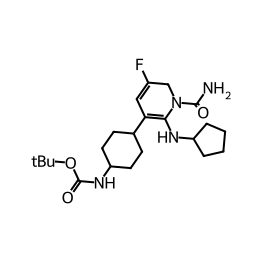 CC(C)(C)OC(=O)NC1CCC(C2=C(NC3CCCC3)N(C(N)=O)CC(F)=C2)CC1